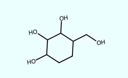 OCC1CCC(O)C(O)C1O